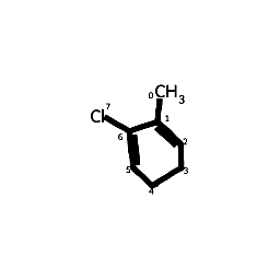 CC1=CC[CH]C=C1Cl